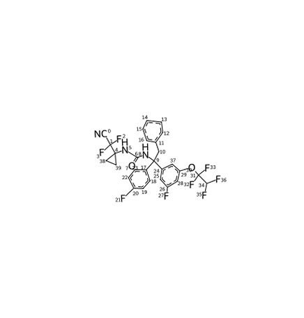 N#CC(F)(F)C1(NC(=O)NC(Cc2ccccc2)(c2ccc(F)cc2)c2cc(F)cc(OC(F)(F)C(F)F)c2)CC1